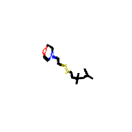 CC(C)CC(C)(C)CCSSCCN1CCOCC1